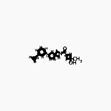 C[C@]1(O)C[C@@H](C(=O)N2CC3(CC[C@@H](c4cccc(C5CC5)c4)C3)C2)C1